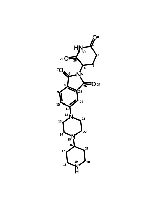 O=C1CCC(N2C(=O)c3ccc(N4CCN(C5CCNCC5)CC4)cc3C2=O)C(=O)N1